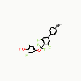 CCCc1ccc(-c2cc(F)c(C(F)(F)Oc3cc(F)c(O)c(F)c3)c(F)c2)cc1